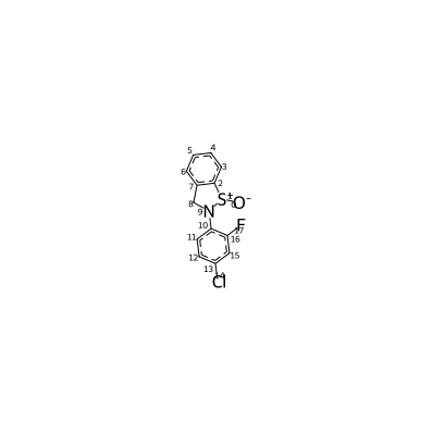 [O-][S+]1c2ccccc2CN1c1ccc(Cl)cc1F